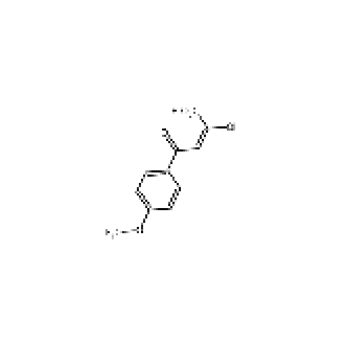 CCOC(=O)/C(O)=C\C(=O)c1ccc(OC(F)(F)F)cc1